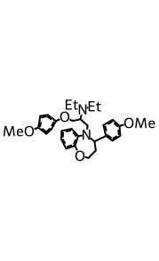 CCN(CC)C(COc1ccc(OC)cc1)CN1c2ccccc2OCCC1c1ccc(OC)cc1